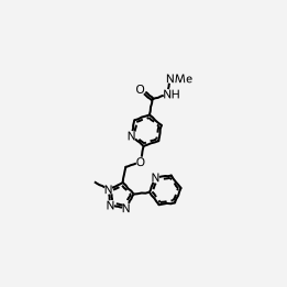 CNNC(=O)c1ccc(OCc2c(-c3ccccn3)nnn2C)nc1